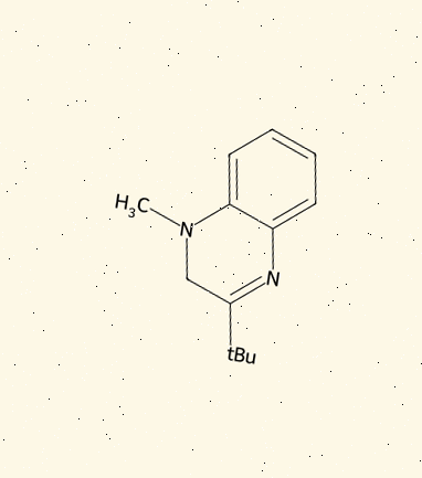 CN1CC(C(C)(C)C)=Nc2ccccc21